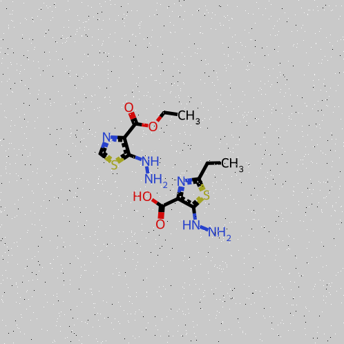 CCOC(=O)c1ncsc1NN.CCc1nc(C(=O)O)c(NN)s1